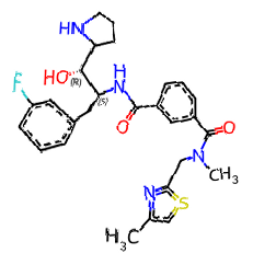 Cc1csc(CN(C)C(=O)c2cccc(C(=O)N[C@@H](Cc3cccc(F)c3)[C@H](O)C3CCCN3)c2)n1